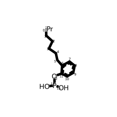 CC(C)CCCCCc1ccccc1OP(O)O